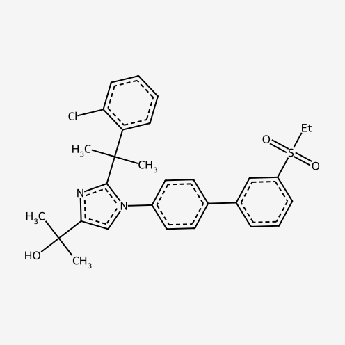 CCS(=O)(=O)c1cccc(-c2ccc(-n3cc(C(C)(C)O)nc3C(C)(C)c3ccccc3Cl)cc2)c1